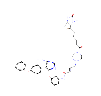 Nc1ncnc(Oc2cccc(NC(=O)/C=C/CN3CCN(C(=O)CCCCC4SCC5NC(=O)NC54)CC3)c2)c1-c1ccc(Oc2ccccc2)cc1